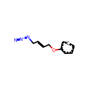 [N-]=[N+]=NC/C=C/COc1ccccc1